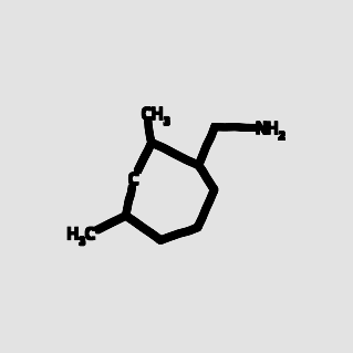 CC1CCCC(CN)C(C)C1